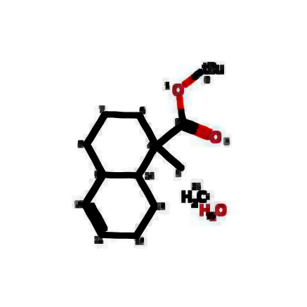 CC(C)(C)OC(=O)C1(C)CCCC2C=CCCC21.O.[CH2]